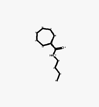 [CH2]CCCNC(=O)C1CCCCCC1